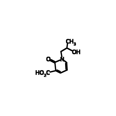 CC(O)Cn1cccc(C(=O)O)c1=O